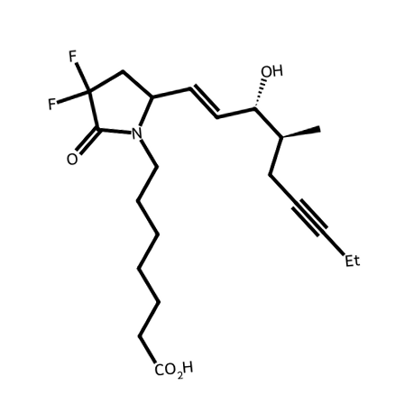 CCC#CC[C@H](C)[C@@H](O)C=CC1CC(F)(F)C(=O)N1CCCCCCC(=O)O